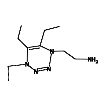 CCC1=C(CC)N(CCN)N=NN1CC